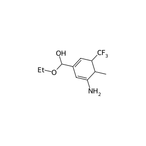 CCOC(O)C1=CC(C(F)(F)F)C(C)C(N)=C1